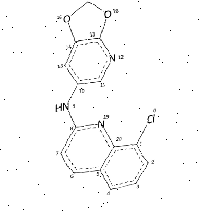 Clc1cccc2ccc(Nc3cnc4c(c3)OCO4)nc12